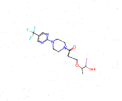 CC(OCCC(=O)N1CCN(c2ncc(C(F)(F)F)cn2)CC1)C(O)I